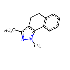 Cn1nc(C(=O)O)c2c1-c1ccccc1CC2